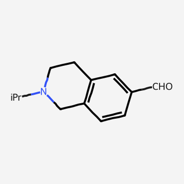 CC(C)N1CCc2cc(C=O)ccc2C1